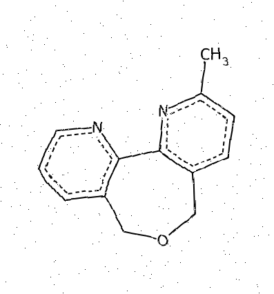 Cc1ccc2c(n1)-c1ncccc1COC2